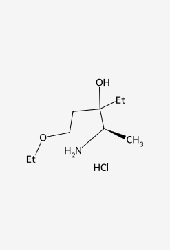 CCOCCC(O)(CC)[C@@H](C)N.Cl